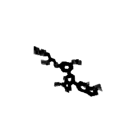 CNCC(O)COc1cc(OC)cc(-c2cc(-c3cnc4[nH]ccc4c3)c3cnn(C(C)C)c3n2)c1